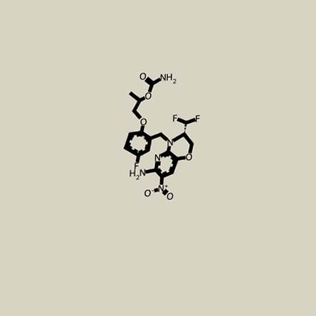 CC(COc1ccc(F)cc1CN1c2nc(N)c([N+](=O)[O-])cc2OC[C@H]1C(F)F)OC(N)=O